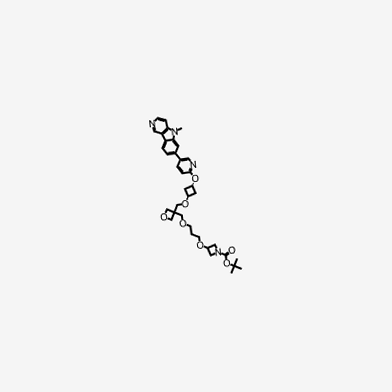 Cn1c2ccncc2c2ccc(-c3ccc(O[C@H]4C[C@H](OCC5(COCCCOC6CN(C(=O)OC(C)(C)C)C6)COC5)C4)nc3)cc21